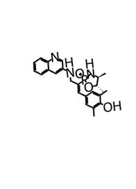 Cc1cc(C=C(CNc2cnc3ccccc3c2)P2(=O)N[C@@H](C)[C@H](C)O2)cc(C)c1O